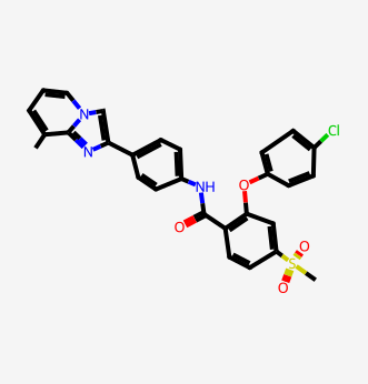 Cc1cccn2cc(-c3ccc(NC(=O)c4ccc(S(C)(=O)=O)cc4Oc4ccc(Cl)cc4)cc3)nc12